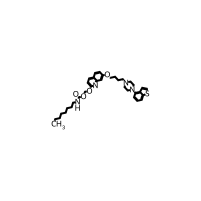 CCCCCCCCNC(=O)OCOc1ccc2ccc(OCCCCN3CCN(c4cccc5sccc45)CC3)cc2n1